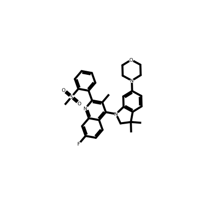 Cc1c(-c2ccccc2S(C)(=O)=O)nc2cc(F)ccc2c1N1CC(C)(C)c2ccc(N3CCOCC3)cc21